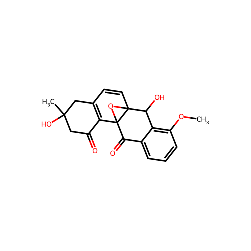 COc1cccc2c1C(O)C13C=CC4=C(C(=O)CC(C)(O)C4)C1(O3)C2=O